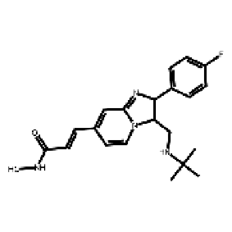 CC(C)(C)NCC1C(c2ccc(F)cc2)N=C2C=C(/C=C/C(=O)NO)C=CN21